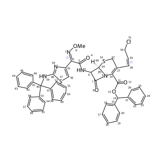 CO/N=C(\C(=O)NC1C(=O)N2C(C(=O)OC(c3ccccc3)c3ccccc3)=C(/C=C\CCl)CS[C@H]12)c1csc(NC(c2ccccc2)(c2ccccc2)c2ccccc2)n1